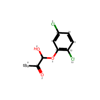 CC(C)(C)C(=O)C(O)Oc1cc(Cl)ccc1Cl